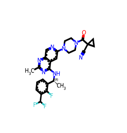 Cc1nc(N[C@H](C)c2cccc(C(F)F)c2F)c2cc(N3CCN(C(=O)C4(C#N)CC4)CC3)ncc2n1